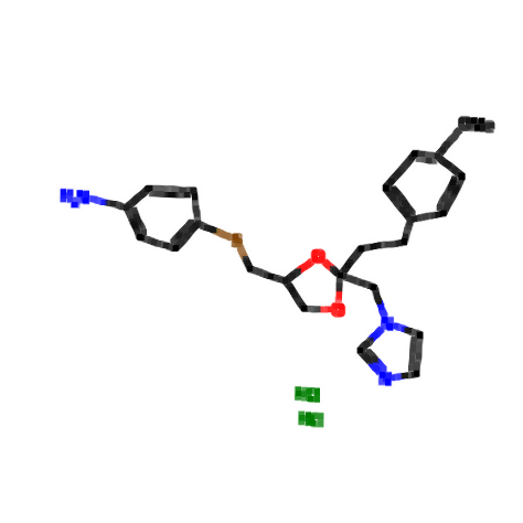 COc1ccc(CCC2(Cn3ccnc3)OCC(CSc3ccc(N)cc3)O2)cc1.Cl.Cl